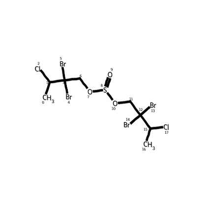 CC(Cl)C(Br)(Br)COS(=O)OCC(Br)(Br)C(C)Cl